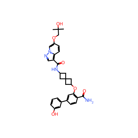 CC(C)(O)COc1ccc2c(C(=O)NC3CC4(C3)CC(Oc3cc(-c5cccc(O)c5)ccc3C(N)=O)C4)cnn2c1